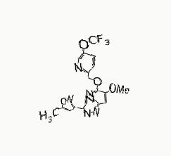 COc1cc2nnc(-c3cc(C)on3)n2nc1OCc1ccc(OC(F)(F)F)cn1